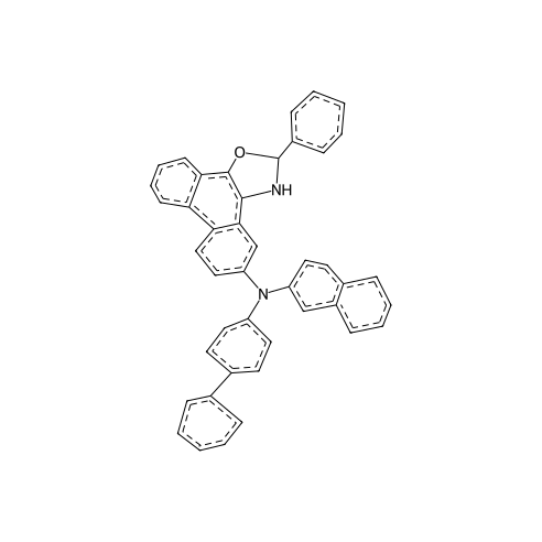 c1ccc(-c2ccc(N(c3ccc4ccccc4c3)c3ccc4c(c3)c3c(c5ccccc54)OC(c4ccccc4)N3)cc2)cc1